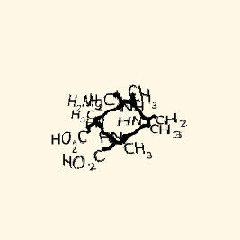 C=Cc1c2[nH]c(c1C)Cc1[nH]c(c(CCC(=O)O)c1C)Cc1[nH]c(c(C)c1CCC(=O)O)Cc1[nH]c(c(C)c1C=C)C2.[MgH2]